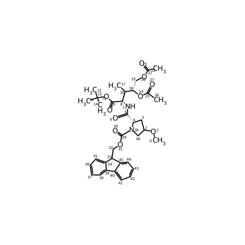 COC1C[C@@H](C(=O)N[C@H](C(=O)OC(C)(C)C)C(C)[C@H](COC(C)=O)OC(C)=O)N(C(=O)OCC2c3ccccc3-c3ccccc32)C1